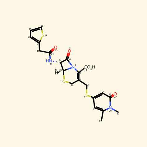 Cc1cc(SCC2=C(C(=O)O)N3C(=O)[C@@H](NC(=O)Cc4cccs4)[C@@H]3SC2)cc(=O)n1C